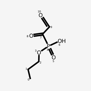 CCCOP(=O)(O)C(=O)C=O